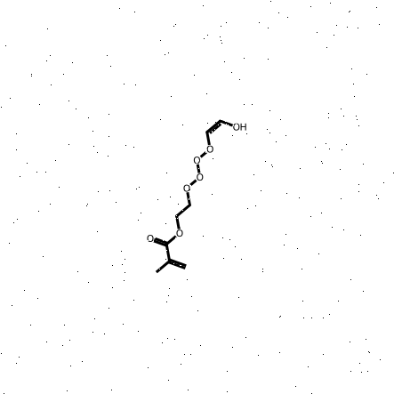 C=C(C)C(=O)OCCOOOO/C=C\O